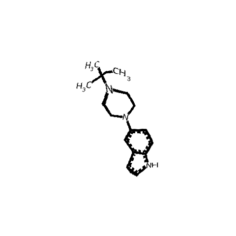 CC(C)(C)N1CCN(c2ccc3[nH]ccc3c2)CC1